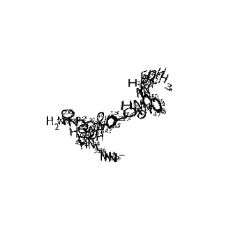 CCOCc1nc2c(NC(=O)OCc3ccc(NC(=O)[C@H](CCCNC(N)=O)NC(=O)C4(C(=O)NCCCN=[N+]=[N-])CCC4)cc3)nc3ccccc3c2n1CC(C)(C)O